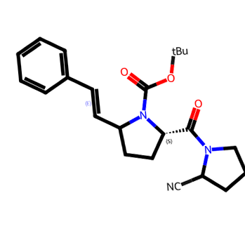 CC(C)(C)OC(=O)N1C(/C=C/c2ccccc2)CC[C@H]1C(=O)N1CCCC1C#N